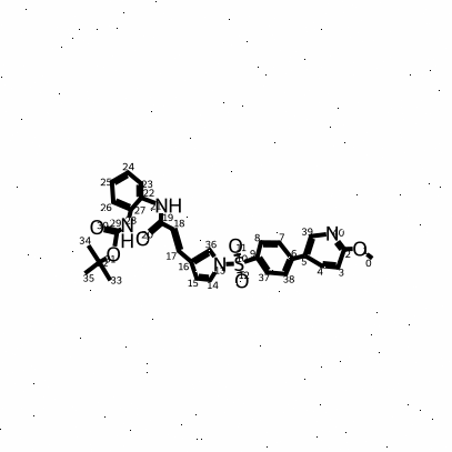 COc1ccc(-c2ccc(S(=O)(=O)n3ccc(C=CC(=O)Nc4ccccc4NC(=O)OC(C)(C)C)c3)cc2)cn1